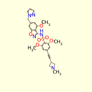 COc1cc(C#CC2CN(C)C2)cc(OC)c1S(=O)(=O)Nc1noc2cc(Cn3cccn3)cc(OC)c12